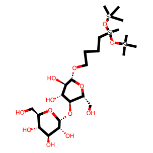 C[Si](C)(C)O[Si](C)(CCCCO[C@@H]1O[C@H](CO)[C@@H](O[C@H]2O[C@H](CO)[C@@H](O)[C@H](O)[C@H]2O)[C@H](O)[C@H]1O)O[Si](C)(C)C